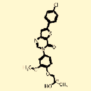 COc1cc(-n2cnc3cc(-c4ccc(Cl)cc4)sc3c2=O)ccc1OC[C@H](C)O